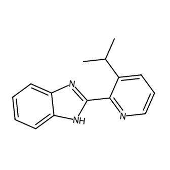 CC(C)c1cccnc1-c1nc2ccccc2[nH]1